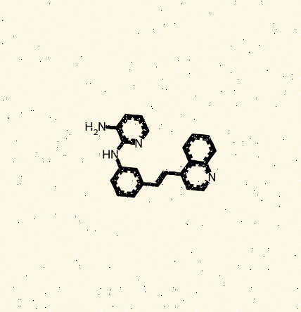 Nc1cccnc1Nc1cccc(C=Cc2ccnc3ccccc23)c1